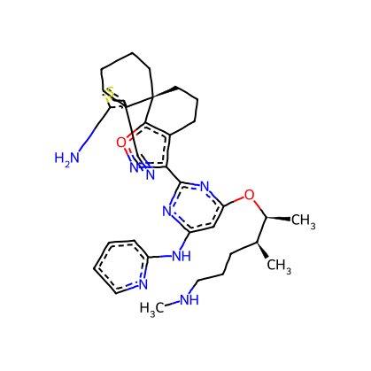 CNCCC[C@H](C)[C@H](C)Oc1cc(Nc2ccccn2)nc(-c2noc3c2CCC[C@@]32CCCc3sc(N)c(C#N)c32)n1